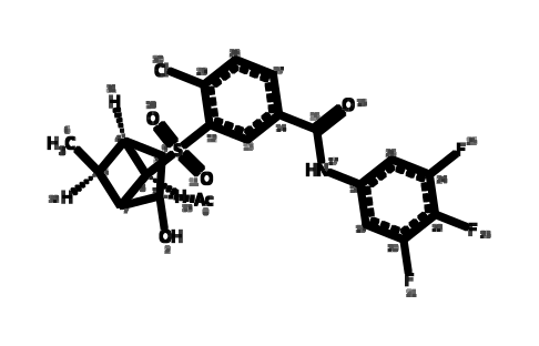 CC(=O)[C@@]1(O)C[C@@H]2[C@H](C)C1[C@@H]2S(=O)(=O)c1cc(C(=O)Nc2cc(F)c(F)c(F)c2)ccc1Cl